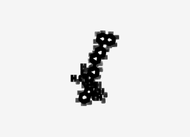 CC1(C)c2cc(-c3ccc4cc(C5=CC=CC6C=CC=CC56)ccc4c3)ccc2C2NC3C(NC21)C1CCC=CC1C3(C)C